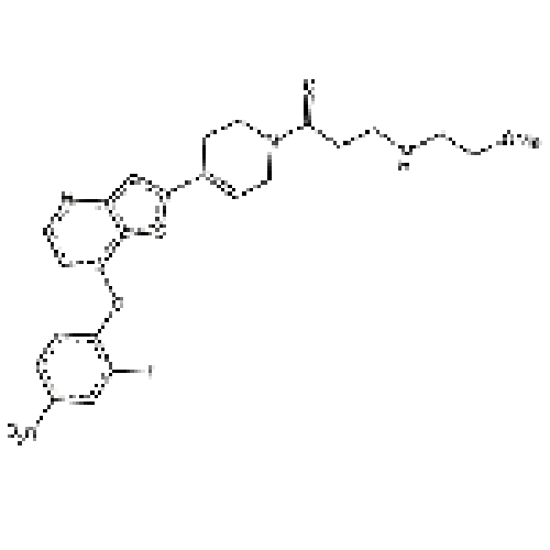 COCCNCCC(=O)N1CC=C(c2cc3nccc(Oc4ccc([N+](=O)[O-])cc4F)c3s2)CC1